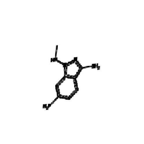 Bc1nn(PI)c2cc(P)ccc12